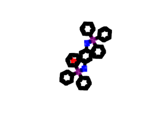 COc1cc(N=P(c2ccccc2)(c2ccccc2)c2ccccc2)ccc1N=P(c1ccccc1)(c1ccccc1)c1ccccc1